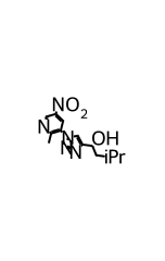 Cc1ncc([N+](=O)[O-])cc1-n1cc(C(O)CC(C)C)nn1